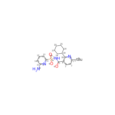 CC(C)(C)c1ccc(C(=O)NS(=O)(=O)c2cccc(N)n2)c(C2CCCCC2)n1